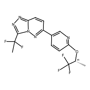 C[C@@H](Oc1ccc(-c2ccc3nnc(C(C)(F)F)n3n2)cn1)C(F)(F)F